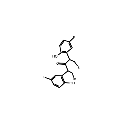 O=C(C(CBr)c1cc(F)ccc1O)C(CBr)c1cc(F)ccc1O